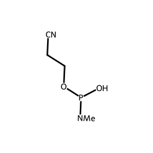 CNP(O)OCCC#N